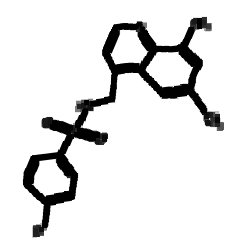 Cc1cc(C)c2nccc(CNS(=O)(=O)c3ccc(Br)cc3)c2c1